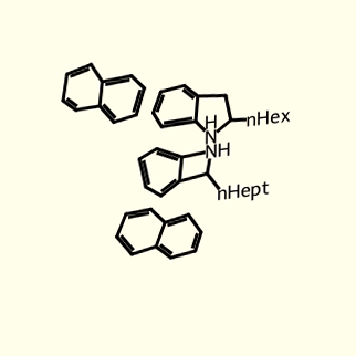 CCCCCCC1Cc2ccccc2N1.CCCCCCCC1Nc2ccccc21.c1ccc2ccccc2c1.c1ccc2ccccc2c1